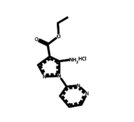 CCOC(=O)c1cnn(-c2cccnn2)c1N.Cl